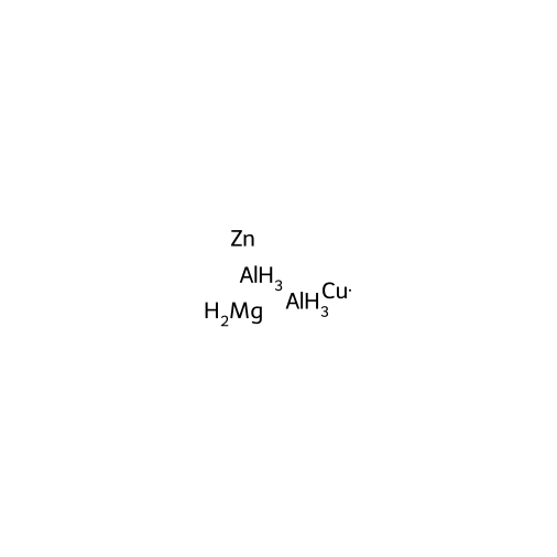 [AlH3].[AlH3].[Cu].[MgH2].[Zn]